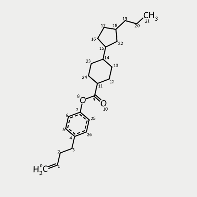 C=CCCc1ccc(OC(=O)C2CCC(C3CCC(CCC)C3)CC2)cc1